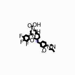 COc1cc(/C=C2\CC[C@@H]3CN(C(=O)O)C[C@H](c4cc(F)c(F)c(F)c4)N3C2=O)ccc1-n1cnc(C)c1